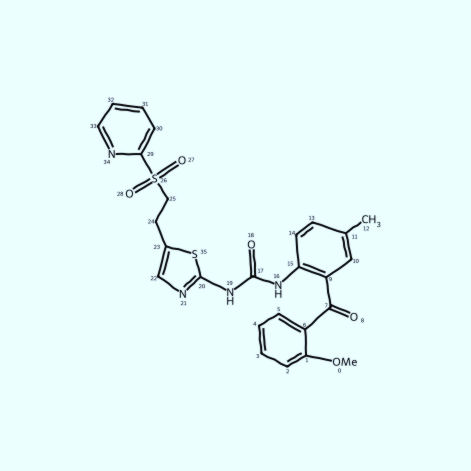 COc1ccccc1C(=O)c1cc(C)ccc1NC(=O)Nc1ncc(CCS(=O)(=O)c2ccccn2)s1